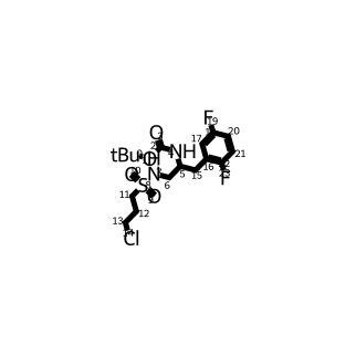 CC(C)(C)OC(=O)NC(CNS(=O)(=O)CCCCl)Cc1cc(F)ccc1F